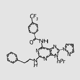 CCCn1c(-n2cccn2)nc2c(NC(=O)c3ccc(C(F)(F)F)cc3)nc(NCCc3ccccc3)nc21